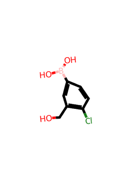 OCc1cc(B(O)O)ccc1Cl